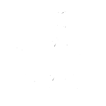 CC1(C)C2CC[C@]3(C)C(C(=O)C=C4[C@@H]5C[C@@](C)(C(=O)O)CC[C@]5(C)CC[C@]43C)[C@@]2(C)CC[C@@H]1O.CC1(C)C2CC[C@]3(C)C(C(=O)C=C4[C@@H]5C[C@@](C)(C(=O)O)CC[C@]5(C)CC[C@]43C)[C@@]2(C)CC[C@@H]1O.N[C@@H]1CCCC[C@H]1N.[Pt]